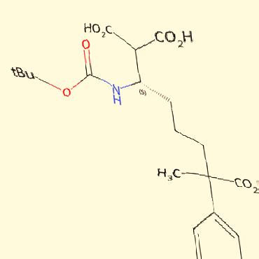 CCOC(=O)C(C)(CCC[C@H](NC(=O)OC(C)(C)C)C(C(=O)O)C(=O)O)c1ccccc1